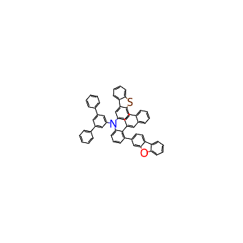 c1ccc(-c2cc(-c3ccccc3)cc(N(c3ccc4sc5ccccc5c4c3)c3cccc(-c4ccc5c(c4)oc4ccccc45)c3-c3ccc4ccccc4c3)c2)cc1